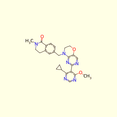 COc1ncnc(C2CC2)c1-c1ncc2c(n1)N(Cc1ccc3c(c1)CCN(C)C3=O)CCO2